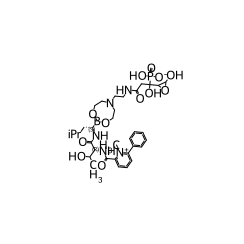 CC(C)C[C@@H](NC(=O)[C@H](NC(=O)c1cccc(-c2ccccc2)[n+]1C)C(C)O)B1OCCN(CCNC(=O)CC(O)(C2OC2O)P(=O)([O-])O)CCO1